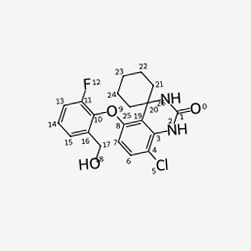 O=C1Nc2c(Cl)ccc(Oc3c(F)cccc3CO)c2C2(CCCCC2)N1